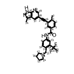 Cc1ccc(C(=O)Nc2ccc(CN3CCCC3)c(C(F)(F)F)c2)cc1C#Cc1cnc2[nH]nc(C)c2c1